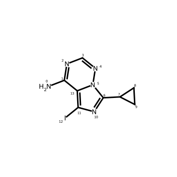 Nc1ncnn2c(C3CC3)nc(I)c12